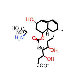 CC[C@H](C)C(=O)O[C@H]1C[C@H](O)C=C2C=C[C@H](C)[C@H](CC[C@@H](O)C[C@@H](O)CC(=O)[O-])[C@H]21.NCC(=O)O.[Na+]